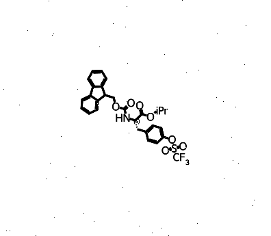 CC(C)OC(=O)[C@H](Cc1ccc(OS(=O)(=O)C(F)(F)F)cc1)NC(=O)OCC1c2ccccc2-c2ccccc21